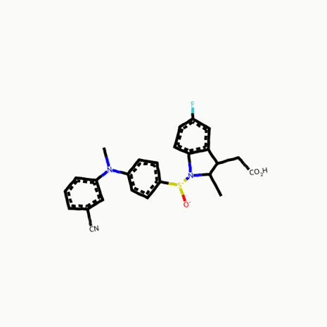 CC1C(CC(=O)O)c2cc(F)ccc2N1[S+]([O-])c1ccc(N(C)c2cccc(C#N)c2)cc1